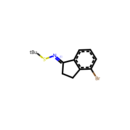 CC(C)(C)S/N=C1\CCc2c(Br)cccc21